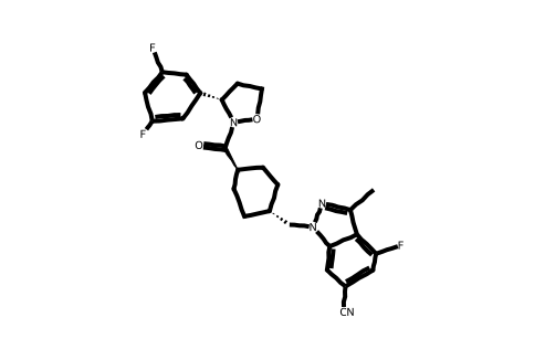 Cc1nn(C[C@H]2CC[C@H](C(=O)N3OCC[C@H]3c3cc(F)cc(F)c3)CC2)c2cc(C#N)cc(F)c12